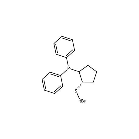 CC(C)(C)S[C@H]1CCCC1P(c1ccccc1)c1ccccc1